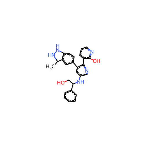 CC1NNc2ccc(-c3cc(NC(CO)c4ccccc4)cnc3-c3cccnc3O)cc21